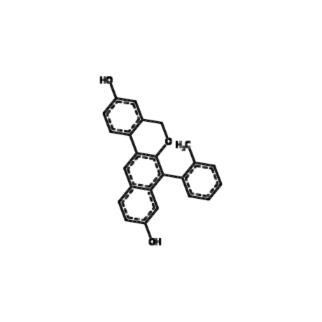 Cc1ccccc1-c1c2c(cc3ccc(O)cc13)-c1ccc(O)cc1CO2